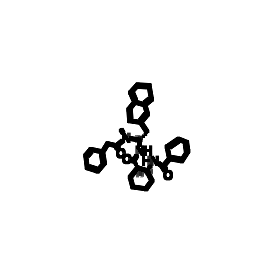 CN(C(=O)Cc1ccccc1)[C@H](Cc1ccc2ccccc2c1)NC(=O)[C@@H]1CCCC[C@@H]1NC(=O)c1ccccc1